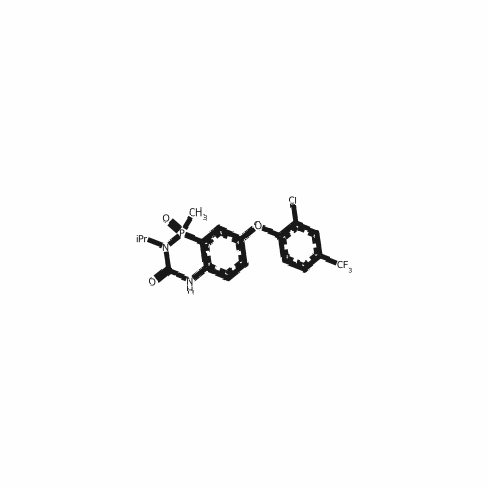 CC(C)N1C(=O)Nc2ccc(Oc3ccc(C(F)(F)F)cc3Cl)cc2P1(C)=O